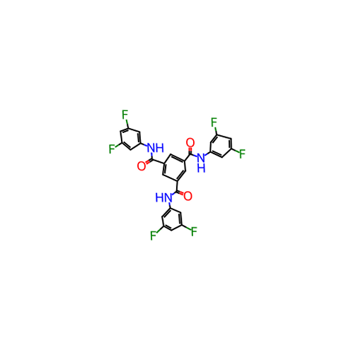 O=C(Nc1cc(F)cc(F)c1)c1cc(C(=O)Nc2cc(F)cc(F)c2)cc(C(=O)Nc2cc(F)cc(F)c2)c1